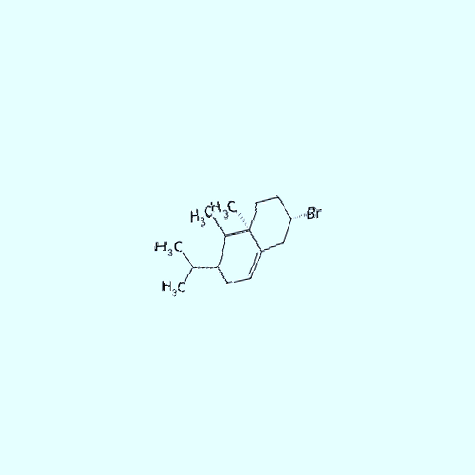 CC(C)C1CC=C2C[C@@H](Br)CC[C@]2(C)C1C